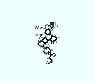 COc1ccc(-c2cccnc2-c2cc(C(F)(F)F)c3ncnc(N4CCN(C(=O)C=CC(C)=O)CC4)c3c2)cc1S(N)(=O)=O